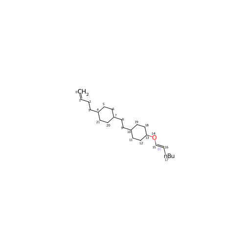 C=CCCC1CCC(CCC2CCC(O/C=C/CCCC)CC2)CC1